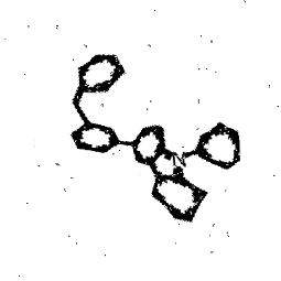 c1ccc(Cc2cccc(-c3ccc4c(c3)c3ccccc3n4-c3ccccc3)c2)cc1